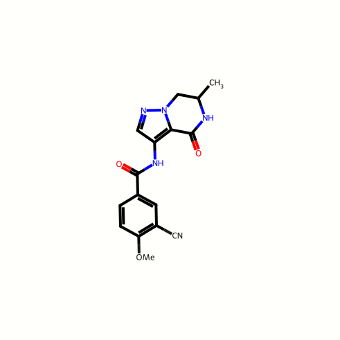 COc1ccc(C(=O)Nc2cnn3c2C(=O)NC(C)C3)cc1C#N